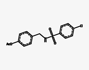 CC(=O)Oc1ccc(CNS(=O)(=O)c2ccc(Cl)cc2)cc1